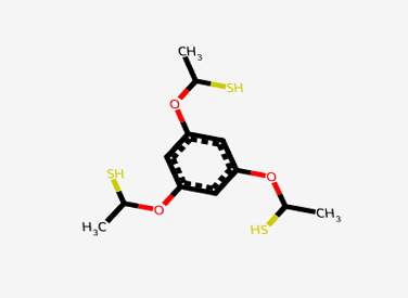 CC(S)Oc1cc(OC(C)S)cc(OC(C)S)c1